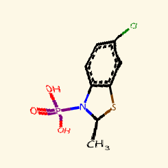 CC1Sc2cc(Cl)ccc2N1P(=O)(O)O